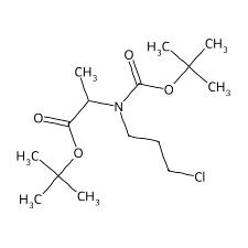 CC(C(=O)OC(C)(C)C)N(CCCCl)C(=O)OC(C)(C)C